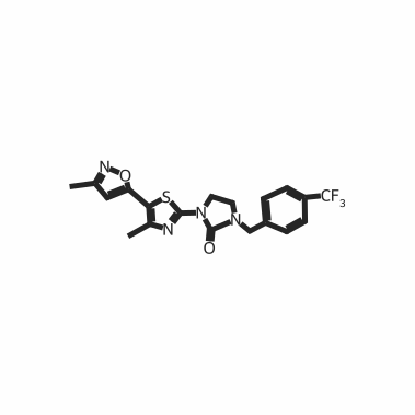 Cc1cc(-c2sc(N3CCN(Cc4ccc(C(F)(F)F)cc4)C3=O)nc2C)on1